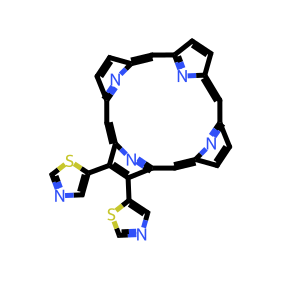 C1=CC2=NC1=CC1=NC(=CC3=NC(=CC4=NC(=C2)C=C4)C(c2cncs2)=C3c2cncs2)C=C1